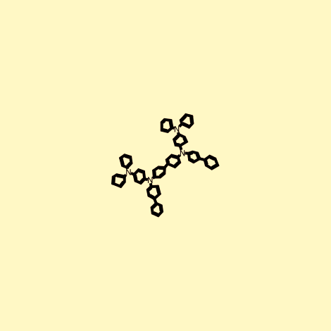 c1ccc(-c2ccc(N(c3ccc(-c4ccc(N(c5ccc(-c6ccccc6)cc5)c5ccc(N(c6ccccc6)c6ccccc6)cc5)cc4)cc3)c3ccc(N(c4ccccc4)c4ccccc4)cc3)cc2)cc1